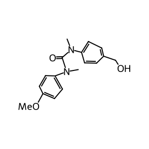 COc1ccc(N(C)C(=O)N(C)c2ccc(CO)cc2)cc1